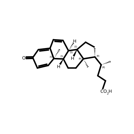 C[C@H](CCC(=O)O)[C@H]1CC[C@H]2[C@@H]3C=CC4=CC(=O)C=C[C@]4(C)[C@H]3CC[C@]12C